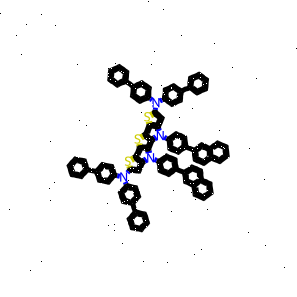 c1ccc(-c2ccc(N(c3ccc(-c4ccccc4)cc3)c3cc4c(s3)c3sc5c6sc(N(c7ccc(-c8ccccc8)cc7)c7ccc(-c8ccccc8)cc7)cc6n(-c6ccc(-c7ccc8ccccc8c7)cc6)c5c3n4-c3ccc(-c4ccc5ccccc5c4)cc3)cc2)cc1